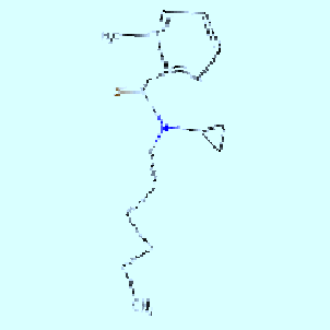 CCCCCCN(C(=S)c1ccccc1C)C1CC1